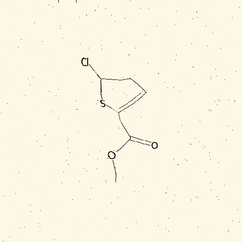 COC(=O)C1=CCC(Cl)S1